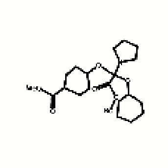 COC(=O)C1CCC(OC(OC2CCCCC2)(C(=O)OC(C)(C)C)N2CCCC2)CC1